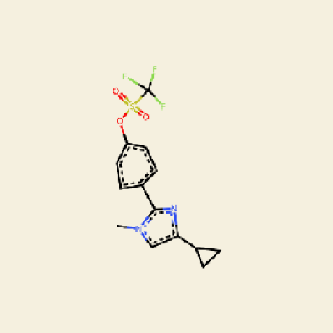 Cn1cc(C2CC2)nc1-c1ccc(OS(=O)(=O)C(F)(F)F)cc1